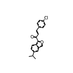 CC(C)c1ccc2c(C(=O)C=Cc3ccc(Cl)cc3)occ2c1